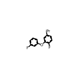 CC(C)c1ccc(F)c(Oc2cccc(F)c2)c1